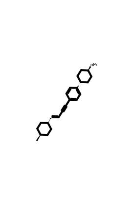 CCC[C@H]1CC[C@H](c2ccc(C#CC=C[C@H]3CC[C@H](C)CC3)cc2)CC1